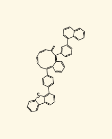 C=C1/C=C\C=C/C/C(c2ccc(-c3cccc4c3sc3ccccc34)cc2)=c2/cccc/c2=C/1c1cccc(-c2cccc3ccccc23)c1